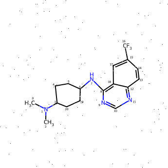 CN(C)C1CCC(Nc2ncnc3ccc(C(F)(F)F)cc23)CC1